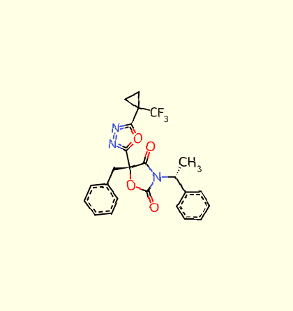 C[C@H](c1ccccc1)N1C(=O)O[C@](Cc2ccccc2)(c2nnc(C3(C(F)(F)F)CC3)o2)C1=O